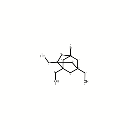 OCC12CC3(Br)CC(CO)(C1)C(CO)(C3)C2